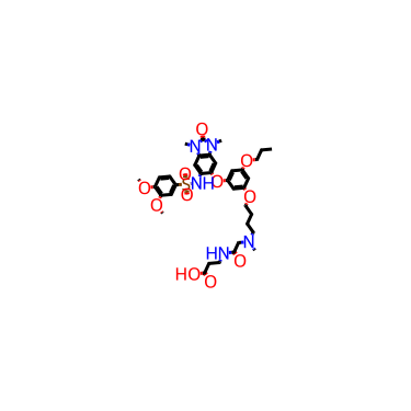 CCCOc1cc(OCCCCN(C)CC(=O)NCCC(=O)O)cc(Oc2cc3c(cc2NS(=O)(=O)c2ccc(OC)c(OC)c2)n(C)c(=O)n3C)c1